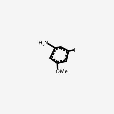 COc1cc(N)cc(I)c1